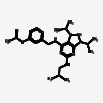 CC(=O)Oc1cccc(CNc2nc(NCC(C)N)nc3c2N(C(C)C)NN3C(C)C)c1